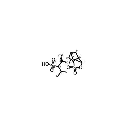 CC(C)C(C(=O)OC1C2CC3C1OS(=O)(=O)C3C2)S(=O)(=O)O